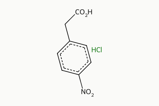 Cl.O=C(O)Cc1ccc([N+](=O)[O-])cc1